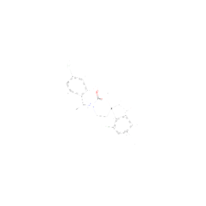 C[C@@H](c1ccc(Br)cc1)N1CCC(CCO)(c2ccc(F)cc2F)OC1=O